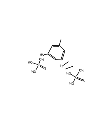 CC.CCC.Cc1cccc(S)c1.OP(O)(O)=S.OP(O)(O)=S